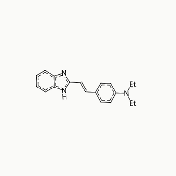 CCN(CC)c1ccc(C=Cc2nc3ccccc3[nH]2)cc1